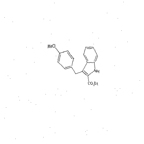 CCOC(=O)c1[nH]c2ccccc2c1Cc1ccc(OC)cc1